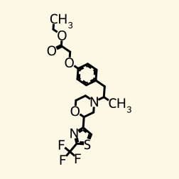 CCOC(=O)COc1ccc(CC(C)N2CCOC(c3csc(C(F)(F)F)n3)C2)cc1